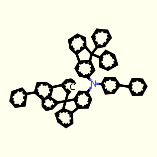 c1ccc(-c2ccc(N(c3ccc4c(c3)C(c3ccccc3)(c3ccccc3)c3ccccc3-4)c3ccc4c(c3)C3(c5ccccc5-4)c4ccccc4-c4ccc(-c5ccccc5)c5cccc3c45)cc2)cc1